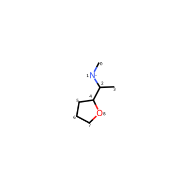 C[N]C(C)C1CCCO1